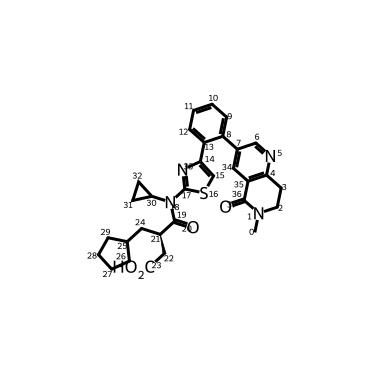 CN1CCc2ncc(-c3ccccc3-c3csc(N(C(=O)[C@@H](CC(=O)O)CC4CCCC4)C4CC4)n3)cc2C1=O